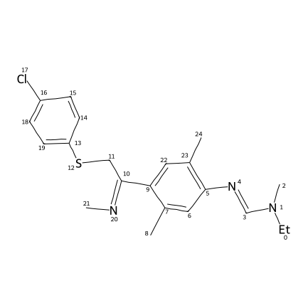 CCN(C)C=Nc1cc(C)c(C(CSc2ccc(Cl)cc2)=NC)cc1C